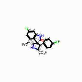 CC(C)C[C@H]1N[C@@H](C(=O)O)[C@H](c2ccc(Cl)cc2)[C@@]12C(=O)Nc1cc(Cl)ccc12